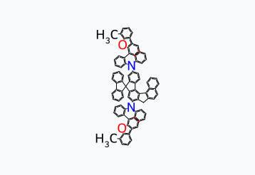 Cc1cccc2c1oc1c(-c3ccccc3N(c3ccccc3)c3ccc4c(c3)C3(c5ccccc5-c5ccccc53)c3cc(N(c5ccccc5)c5ccccc5-c5cccc6c5oc5c(C)cccc56)c5c(c3-4)-c3c(ccc4ccccc34)C5)cccc12